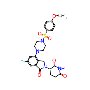 COc1ccc(S(=O)(=O)N2CCN(c3cc(F)cc4c3CN(C3CCC(=O)NC3=O)C4=O)CC2)cc1